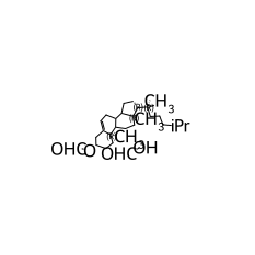 CC(C)CCC[C@@H](C)[C@H]1CCC2C3CC=C4CC(OC=O)CC[C@]4(C)C3CC[C@@]21C.O=CO